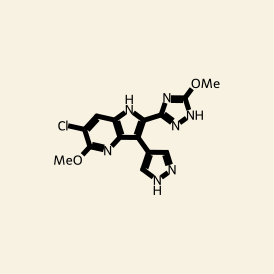 COc1nc(-c2[nH]c3cc(Cl)c(OC)nc3c2-c2cn[nH]c2)n[nH]1